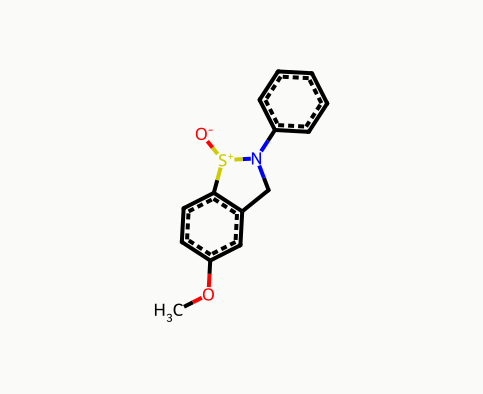 COc1ccc2c(c1)CN(c1ccccc1)[S+]2[O-]